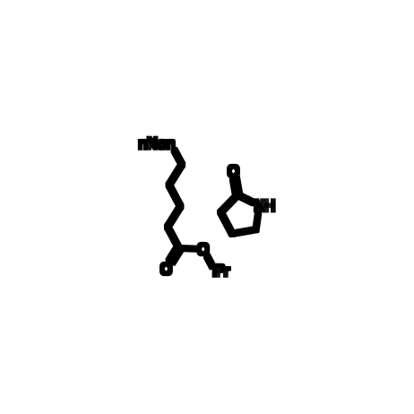 CCCCCCCCCCCCCC(=O)OC(C)C.O=C1CCCN1